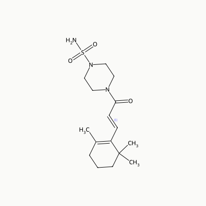 CC1=C(/C=C/C(=O)N2CCN(S(N)(=O)=O)CC2)C(C)(C)CCC1